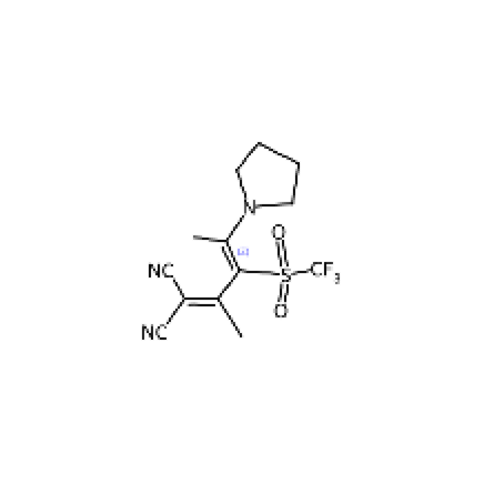 CC(=C(C#N)C#N)/C(=C(\C)N1CCCC1)S(=O)(=O)C(F)(F)F